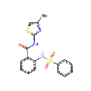 CC(C)(C)c1csc(NC(=O)c2ccccc2NS(=O)(=O)c2ccccc2)n1